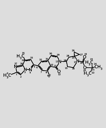 Cc1cn2nc(-c3cc(F)c4c(=O)n(C5CCN(C(=O)OC(C)(C)C)C6(CC6)C5)ccc4c3)cc(C)c2n1